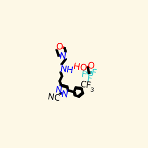 N#Cc1nc(CCCNCCN2CCOCC2)cc(-c2cccc(C(F)(F)F)c2)n1.O=C(O)C(F)(F)F